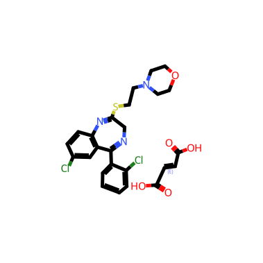 Clc1ccc2c(c1)C(c1ccccc1Cl)=NCC(SCCN1CCOCC1)=N2.O=C(O)/C=C/C(=O)O